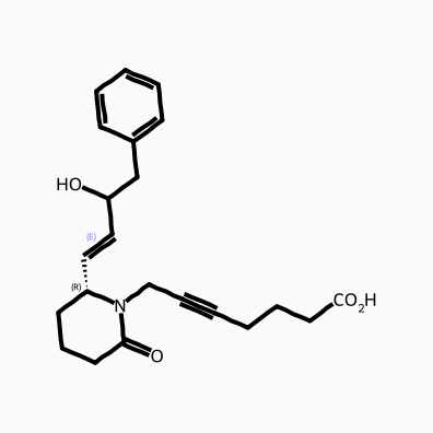 O=C(O)CCCC#CCN1C(=O)CCC[C@@H]1/C=C/C(O)Cc1ccccc1